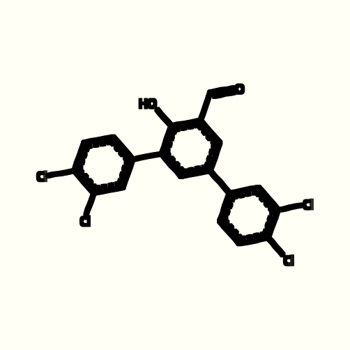 O=Cc1cc(-c2ccc(Cl)c(Cl)c2)cc(-c2ccc(Cl)c(Cl)c2)c1O